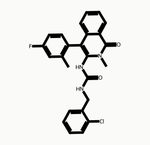 Cc1cc(F)ccc1-c1c(NC(=O)NCc2ccccc2Cl)n(C)c(=O)c2ccccc12